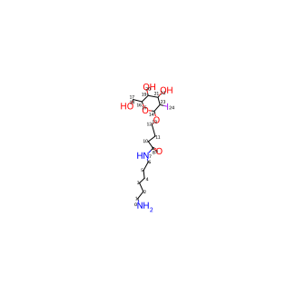 NCCCCCCNC(=O)CCCOC1OC(CO)C(O)C(O)C1I